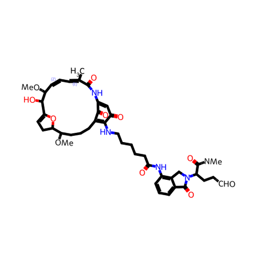 CNC(=O)C(CCC=O)N1Cc2c(NC(=O)CCCCCNC3=C4CCCC(OC)C5CC=C(O5)C(O)C(OC)/C=C\C=C(/C)C(=O)NC(=CC3=O)C4=O)cccc2C1=O